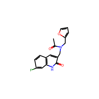 CC(=O)N(Cc1ccco1)Cc1cc2ccc(F)cc2[nH]c1=O